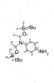 CC(O[Si](C)(C)C(C)(C)C)N(c1ccc(N)cc1)C(C)O[Si](C)(C)C(C)(C)C